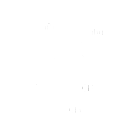 CCC(C)c1sc2c(c1C(C)C)CCCC2(C)C